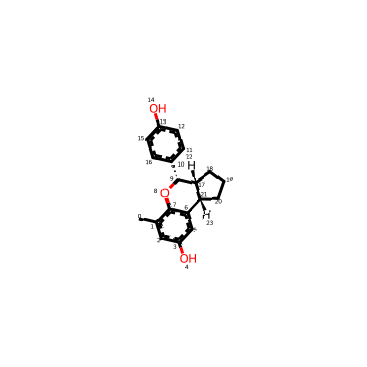 Cc1cc(O)cc2c1O[C@H](c1ccc(O)cc1)[C@@H]1CCC[C@H]21